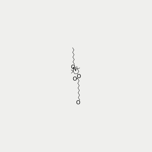 CCCCCCCCON1C(C)(C)CC(OC(=O)CCCCCCCCC=O)CC1(C)C